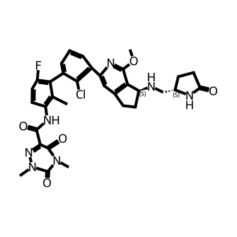 COc1nc(-c2cccc(-c3c(F)ccc(NC(=O)c4nn(C)c(=O)n(C)c4=O)c3C)c2Cl)cc2c1[C@@H](NC[C@@H]1CCC(=O)N1)CC2